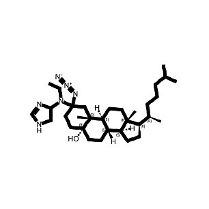 CCN(C1CNC=N1)C1(N=[N+]=[N-])CC[C@]2(O)CC[C@H]3[C@@H]4CC[C@H]([C@H](C)CCCC(C)C)[C@@]4(C)CC[C@@H]3[C@@]2(C)C1